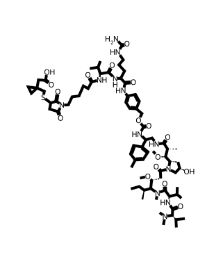 CC[C@H](C)C([C@@H](CC(=O)N1C[C@@H](O)C[C@H]1[C@H](OC)[C@@H](C)C(=O)NCC(NC(=O)OCc1ccc(NC(=O)C(CCCNC(N)=O)NC(=O)[C@@H](NC(=O)CCCCCN2C(=O)CC(SCC3(CC(=O)O)CC3)C2=O)C(C)C)cc1)c1ccc(C)cc1)OC)N(C)C(=O)[C@@H](NC(=O)[C@H](C(C)C)N(C)C)C(C)C